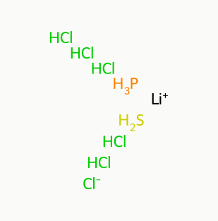 Cl.Cl.Cl.Cl.Cl.P.S.[Cl-].[Li+]